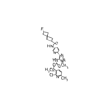 Cc1ccc([C@@H](C)OC(=O)Nc2c(-c3ccc(NC(=O)C4CC5(CC(F)C5)C4)cn3)nnn2C)c(Cl)n1